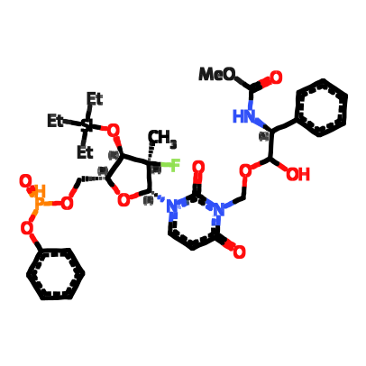 CC[Si](CC)(CC)O[C@@H]1[C@@H](CO[PH](=O)Oc2ccccc2)O[C@@H](n2ccc(=O)n(COC(O)[C@@H](NC(=O)OC)c3ccccc3)c2=O)[C@]1(C)F